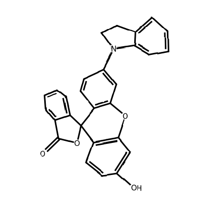 O=C1OC2(c3ccc(O)cc3Oc3cc(N4CCc5ccccc54)ccc32)c2ccccc21